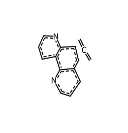 C=C=C.c1cnc2c(c1)ccc1ncccc12